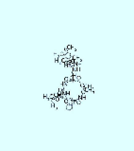 COc1cc(C)c(S(=O)(=O)NC(=N)NCCC[C@@H]2NC(=O)COC(C)(C)OCNC(=O)[C@@H](Cc3ccccc3)NC(=O)[C@H](CC(=O)OC(C)(C)C)NC(=O)CNC2=O)c(C)c1C